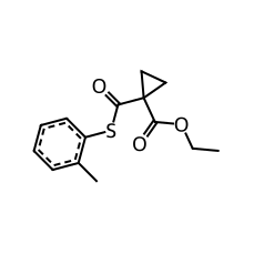 CCOC(=O)C1(C(=O)Sc2ccccc2C)CC1